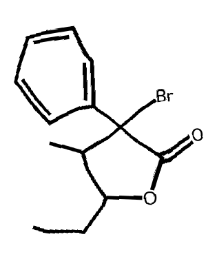 CCC1OC(=O)C(Br)(c2ccccc2)C1C